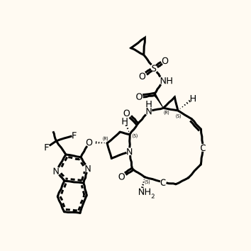 CC(F)(F)c1nc2ccccc2nc1O[C@@H]1C[C@H]2C(=O)N[C@]3(C(=O)NS(=O)(=O)C4CC4)C[C@H]3C=CCCCCC[C@H](N)C(=O)N2C1